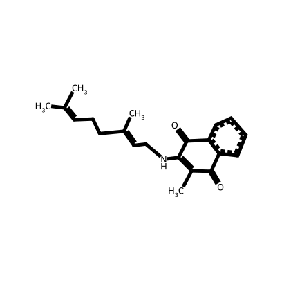 CC(C)=CCC/C(C)=C/CNC1=C(C)C(=O)c2ccccc2C1=O